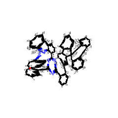 c1ccc(-c2nc(-c3ccccc3-c3ccc4c(c3)C3(c5ccccc5-c5ccccc53)c3ccccc3-4)nc(-c3cccc4c5ccccc5n(-c5ccccc5)c34)n2)cc1